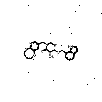 CC(C)CN(Cc1cnc2c(c1)OCCCO2)C(=O)[C@H](C)CNCc1cccc2cc[nH]c12